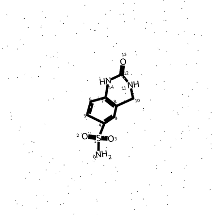 NS(=O)(=O)c1ccc2c(c1)CNC(=O)N2